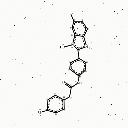 Cc1ccc2nc(-c3ccc(NC(=O)Cc4ccc(Cl)cc4)cc3)n(O)c2c1